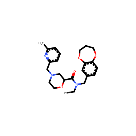 Cc1cccc(CN2CCOC(C(=O)N(Cc3ccc4c(c3)OCCCO4)CC(C)C)C2)n1